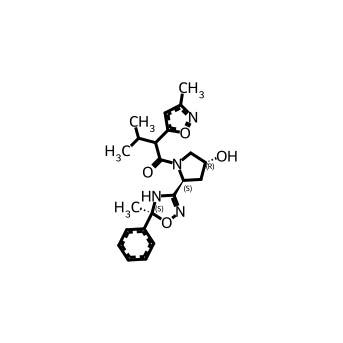 Cc1cc(C(C(=O)N2C[C@H](O)C[C@H]2C2=NO[C@@](C)(c3ccccc3)N2)C(C)C)on1